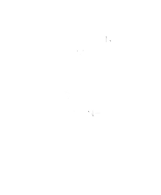 CCN(C)C(=O)c1c[c]cc(NC(=O)c2ccc(C)cc2)c1